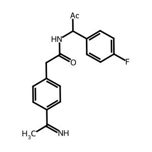 CC(=N)c1ccc(CC(=O)NC(C(C)=O)c2ccc(F)cc2)cc1